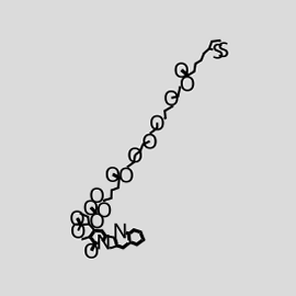 CCC1(OC(=O)OC(=O)CCCC(=O)OCCOCCOCCOCCCOCCOC(=O)CCCCC2CCSS2)C(=O)OCc2c1cc1n(c2=O)Cc2cc3ccccc3nc2-1